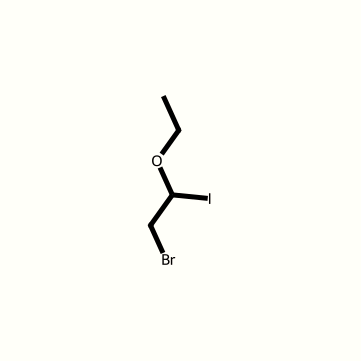 CCOC(I)CBr